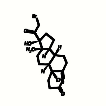 C[C@]12CCC(=O)C=C1CC[C@@H]1[C@@H]2CC[C@@]2(C)[C@H]1CC[C@]2(O)C(=O)CBr